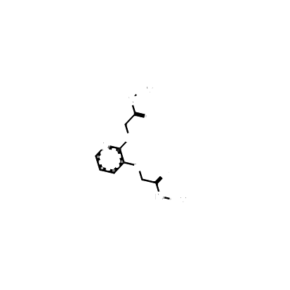 CONC(=O)CSc1cccnc1SCC(=O)NOC